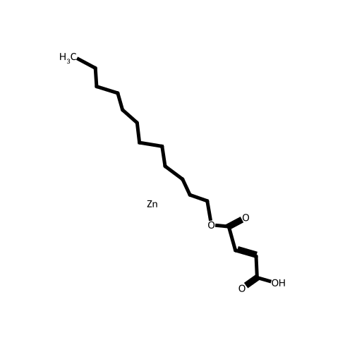 CCCCCCCCCCCCOC(=O)C=CC(=O)O.[Zn]